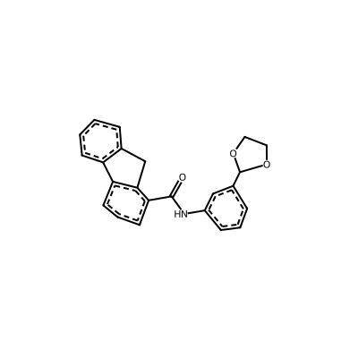 O=C(Nc1cccc(C2OCCO2)c1)c1cccc2c1Cc1ccccc1-2